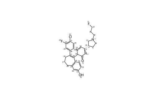 O=C1N=C([C@H]2CCN(CCCF)C2)C=NC1C1=C(c2ccc(Cl)c(F)c2)CCCc2cc(O)ccc21